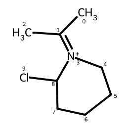 CC(C)=[N+]1CCCCC1Cl